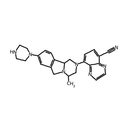 CC1CN(c2ccc(C#N)c3nccnc23)CC2c3ccc(N4CCNCC4)cc3CN12